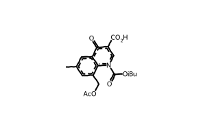 CC(=O)OCc1cc(C)cc2c(=O)c(C(=O)O)cn(C(=O)OCC(C)C)c12